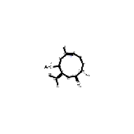 CC(=O)OC1C/C(C)=C\CC[C@H](C)C(=O)CC1=C(C)C